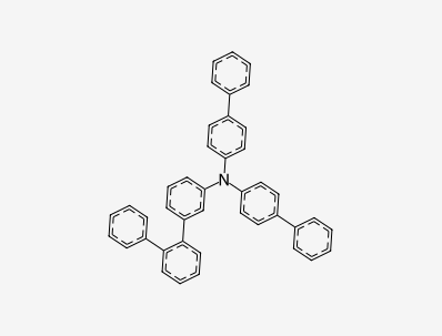 c1ccc(-c2ccc(N(c3ccc(-c4ccccc4)cc3)c3cccc(-c4ccccc4-c4ccccc4)c3)cc2)cc1